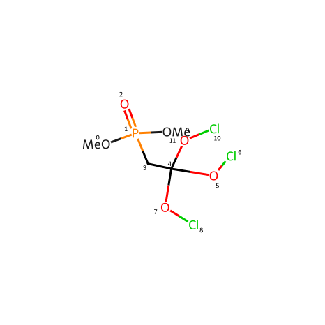 COP(=O)(CC(OCl)(OCl)OCl)OC